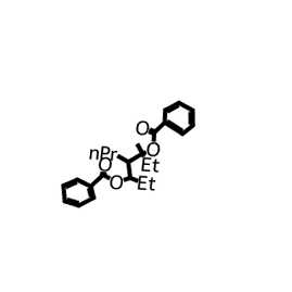 CCCC(C(CC)OC(=O)c1ccccc1)C(C)(CC)OC(=O)c1ccccc1